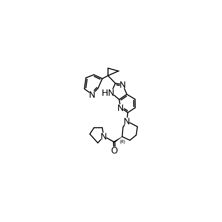 O=C([C@@H]1CCCN(c2ccc3nc(C4(c5cccnc5)CC4)[nH]c3n2)C1)N1CCCC1